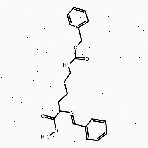 COC(=O)C(CCCCNC(=O)OCc1ccccc1)N=Cc1ccccc1